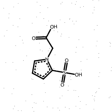 O=C(O)Cn1cccc1S(=O)(=O)O